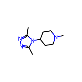 Cc1nnc(C)n1C1CCN(C)CC1